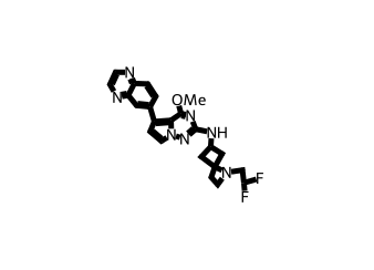 COc1nc(NC2CC3(CCN3CC(F)F)C2)nn2ccc(-c3ccc4nccnc4c3)c12